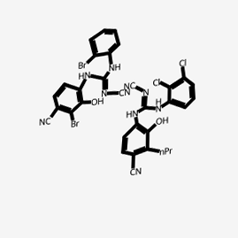 CCCc1c(C#N)ccc(N/C(=N\C#N)Nc2cccc(Cl)c2Cl)c1O.N#C/N=C(\Nc1ccccc1Br)Nc1ccc(C#N)c(Br)c1O